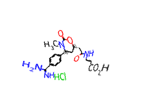 CN1C(=O)O[C@H](CC(=O)NCCC(=O)O)C[C@H]1c1ccc(C(=N)N)cc1.Cl